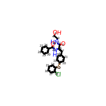 O=C(NCCO)/C(=C/c1ccc(Sc2ccccc2Cl)cc1)NC(=O)c1ccccc1